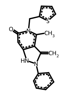 C=C1c2c(cc(=O)n(Cc3cccs3)c2C)NN1c1ccccc1